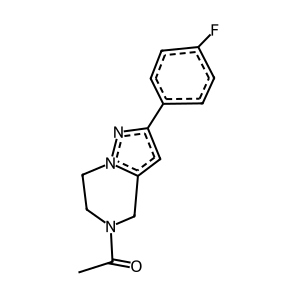 CC(=O)N1CCn2nc(-c3ccc(F)cc3)cc2C1